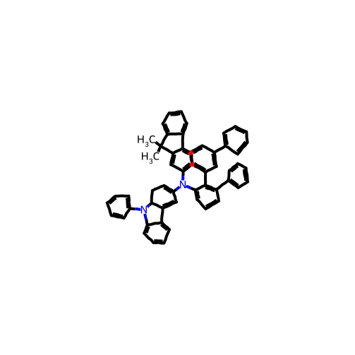 CC1(C)c2ccccc2-c2ccc(N(C3=CCC4C(=C3)c3ccccc3N4c3ccccc3)c3cccc(-c4ccccc4)c3-c3cccc(-c4ccccc4)c3)cc21